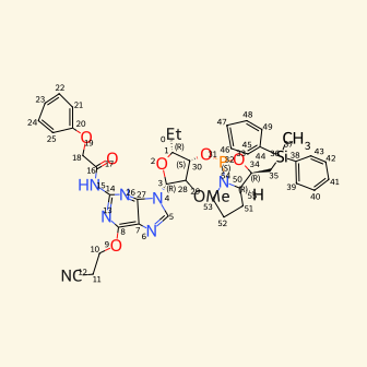 CC[C@H]1O[C@@H](n2cnc3c(OCCC#N)nc(NC(=O)COc4ccccc4)nc32)C(OC)[C@H]1O[P@]1O[C@@H](C[Si](C)(c2ccccc2)c2ccccc2)[C@H]2CCCN21